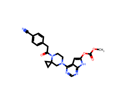 COC(=O)Oc1cc2c(N3CCN(C(=O)Cc4ccc(C#N)cc4)C4(CC4)C3)ncnc2[nH]1